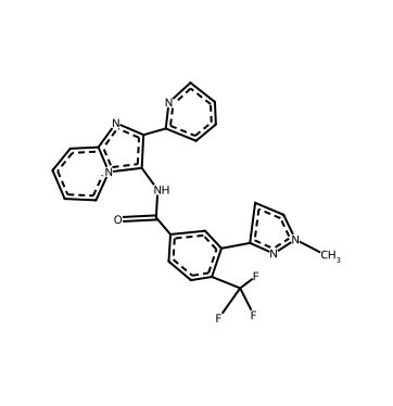 Cn1ccc(-c2cc(C(=O)Nc3c(-c4ccccn4)nc4ccccn34)ccc2C(F)(F)F)n1